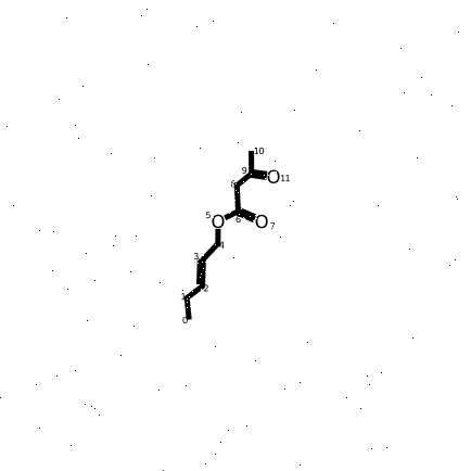 CCC=CCOC(=O)CC(C)=O